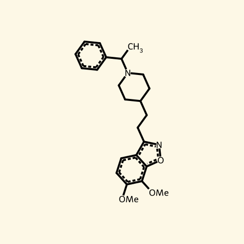 COc1ccc2c(CCC3CCN(C(C)c4ccccc4)CC3)noc2c1OC